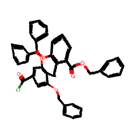 O=C(Cl)c1cc(OCc2ccccc2)c(Cc2c(OCc3ccccc3)cccc2C(=O)OCc2ccccc2)c(OCc2ccccc2)c1